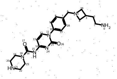 NCCC1CN(Cc2ccc(-n3ccc(NC(=O)N4CCNCC4)nc3=O)cc2)C1